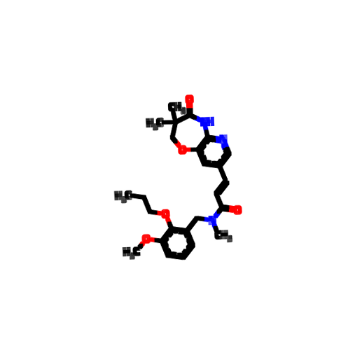 CCCOc1c(CN(C)C(=O)C=Cc2cnc3c(c2)OCC(C)(C)C(=O)N3)cccc1OC